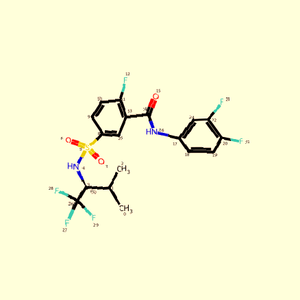 CC(C)[C@H](NS(=O)(=O)c1ccc(F)c(C(=O)Nc2ccc(F)c(F)c2)c1)C(F)(F)F